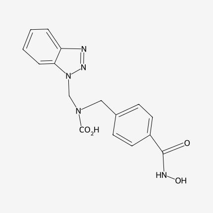 O=C(NO)c1ccc(CN(Cn2nnc3ccccc32)C(=O)O)cc1